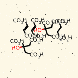 O=C(O)C=CC(=O)O.O=C(O)C=CC(=O)O.O=C(O)CC(O)(CC(=O)O)C(=O)O.O=C(O)CC(O)(CC(=O)O)C(=O)O.O=C(O)CCC(=O)O